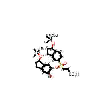 CC(C)(C)[Si](C)(C)OC1CCc2cc(Br)ccc21.CC(C)(C)[Si](C)(C)OC1CCc2cc(S(=O)(=O)CCC(=O)O)ccc21